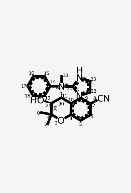 CC1(C)Oc2ccc(C#N)cc2[C@@H]([N+](C)(c2ccccc2)c2ncc[nH]2)[C@@H]1O